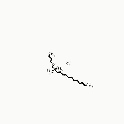 CCCCCCCCCCCC[N+](C)(C)COCCCC.[Cl-]